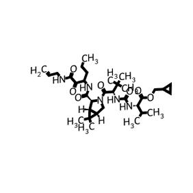 C=CCNC(=O)C(=O)C(CCC)NC(=O)[C@@H]1[C@@H]2[C@H](CN1C(=O)[C@@H](NC(=O)N[C@H](C(=O)OCC1CC1)C(C)C)C(C)(C)C)C2(C)C